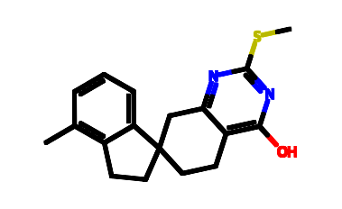 CSc1nc(O)c2c(n1)CC1(CCc3c(C)cccc31)CC2